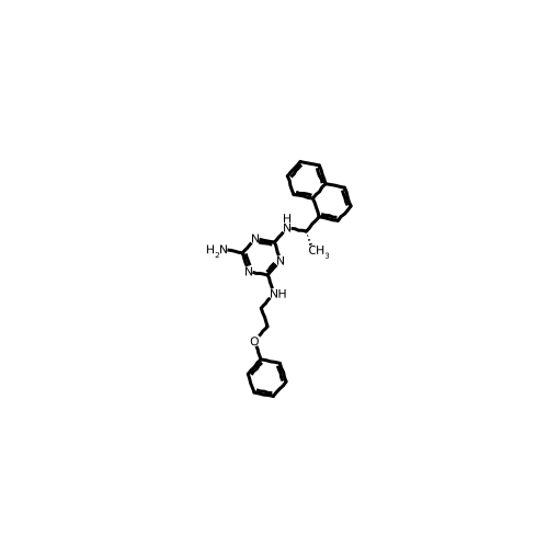 C[C@H](Nc1nc(N)nc(NCCOc2ccccc2)n1)c1cccc2ccccc12